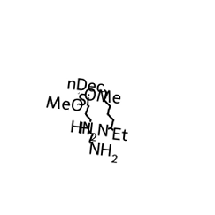 CCCCCCCCCCCCCCCC(N)CC.CO[Si](C)(CCCNCCN)OC